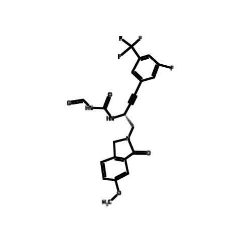 COc1ccc2c(c1)C(=O)N(C[C@@H](C#Cc1cc(F)cc(C(F)(F)F)c1)NC(=O)NC=O)C2